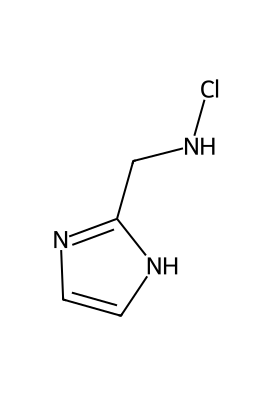 ClNCc1ncc[nH]1